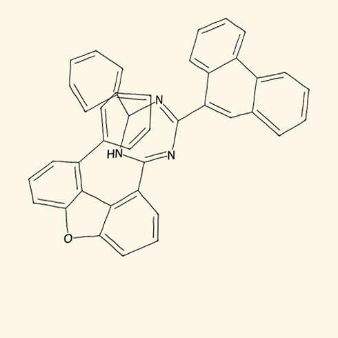 c1ccc(-c2cccc3oc4cccc(C5=NC(c6cc7ccccc7c7ccccc67)=NC(c6ccccc6)N5)c4c23)cc1